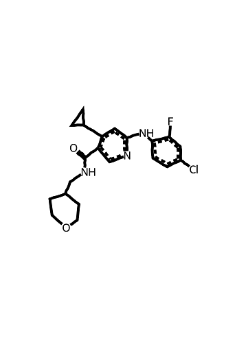 O=C(NCC1CCOCC1)c1cnc(Nc2ccc(Cl)cc2F)cc1C1CC1